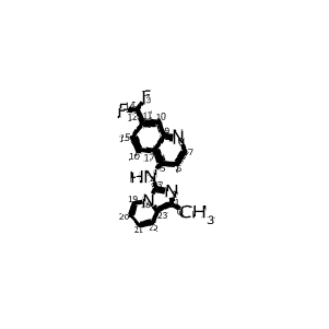 Cc1nc(Nc2ccnc3cc(C(F)F)ccc23)n2ccccc12